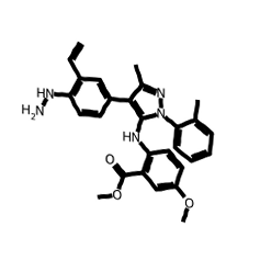 C=Cc1cc(-c2c(C)nn(-c3ccccc3C)c2Nc2ccc(OC)cc2C(=O)OC)ccc1NN